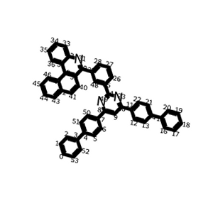 c1ccc(-c2ccc(-c3cc(-c4ccc(-c5ccccc5)cc4)nc(-c4cccc(-c5nc6ccccc6c6c5ccc5ccccc56)c4)n3)cc2)cc1